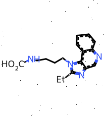 CCc1nc2cnc3ccccc3c2n1CCCCNC(=O)O